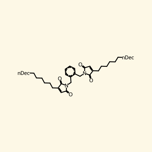 CCCCCCCCCCCCCCCCC1=CC(=O)N(Cc2ccccc2CN2C(=O)C=C(CCCCCCCCCCCCCCCC)C2=O)C1=O